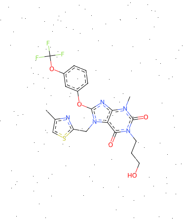 Cc1csc(Cn2c(Oc3cccc(OC(F)(F)F)c3)nc3c2c(=O)n(CCCO)c(=O)n3C)n1